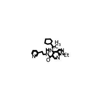 CCn1ncc2c(N[C@H](C)C3CCCCC3)c(C(=O)NCCc3cccnc3)cnc21